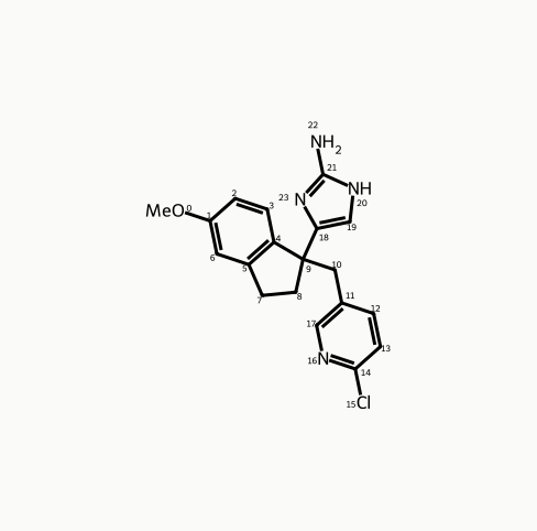 COc1ccc2c(c1)CCC2(Cc1ccc(Cl)nc1)c1c[nH]c(N)n1